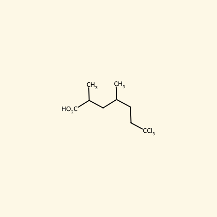 CC(CCC(Cl)(Cl)Cl)CC(C)C(=O)O